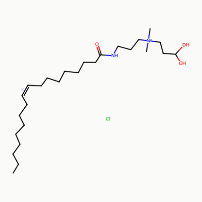 CCCCCCCC/C=C\CCCCCCCC(=O)NCCC[N+](C)(C)CCC(O)O.[Cl-]